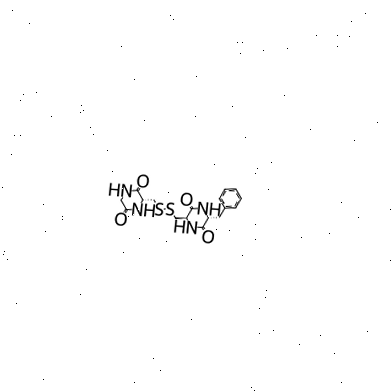 O=C1CNC(=O)[C@H](CSSC[C@@H]2NC(=O)[C@@H](Cc3ccccc3)NC2=O)N1